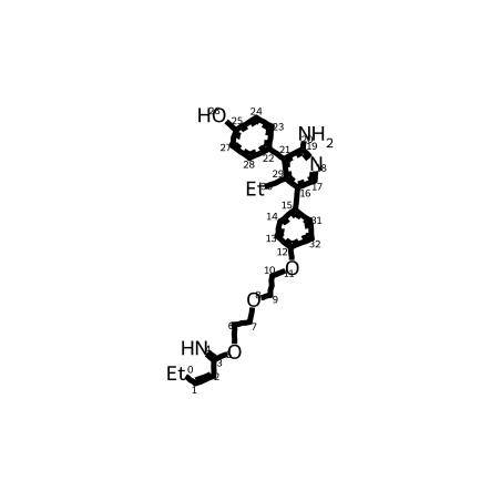 CC/C=C\C(=N)OCCOCCOc1ccc(-c2cnc(N)c(-c3ccc(O)cc3)c2CC)cc1